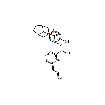 C[C@H](OCC(=O)N1CC2CCC(C1)N2c1ccc(C#N)cn1)c1ccc/c(=N/C=N)[nH]1